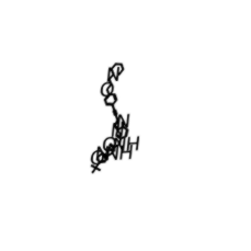 CC(C)(C)c1cc(NC(=O)Nc2ccc3nc(C#Cc4ccc(OCCN5CCCCC5)cc4)cn3c2)no1